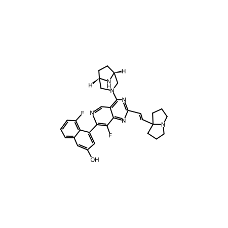 Oc1cc(-c2ncc3c(N4C[C@H]5CC[C@@H](C4)N5)nc(/C=C/C45CCCN4CCC5)nc3c2F)c2c(F)cccc2c1